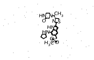 CC([C@H]1CSC(c2cc3cc(CS(C)(=O)=O)cc(NC4CCCC4)c3[nH]2)=N1)N1CCNC(=O)C1